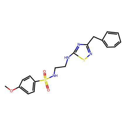 COc1ccc(S(=O)(=O)NCCNc2nc(Cc3ccccc3)ns2)cc1